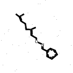 CC(C)=CCC/C(C)=C/CON=Cc1ccccc1